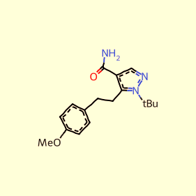 COc1ccc(CCc2c(C(N)=O)cnn2C(C)(C)C)cc1